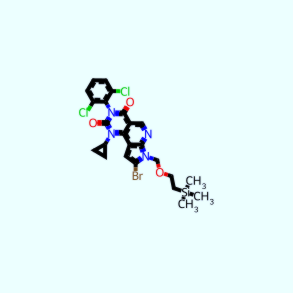 C[Si](C)(C)CCOCn1c(Br)cc2c1ncc1c(=O)n(-c3c(Cl)cccc3Cl)c(=O)n(C3CC3)c12